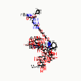 CCCCNC(=O)CC[C@@H](CNCC(=O)NCCOCCOCCOCCn1nnc2c1CCCCCC2(F)C(=O)NCCCCCC(=O)NCC(O)C1O[C@@](OC=O)(O[C@@H]2C(O)[C@H](O[C@@H]3C(CO)O[C@@H](O[C@@H]4C(O)[C@@H](O[C@H]5C(CO)O[C@@H](O[C@@H]6C(CO)O[C@@H](OC)C(O)[C@H]6O)C(O)[C@H]5O[C@@H]5OC(CO)[C@@H](O)[C@H](O)C5O)OC(CO)[C@H]4OC)C(C)[C@H]3O)OC(CO)[C@@H]2O)C[C@@H](O)[C@@H]1NC(C)=O)NC(=O)OCc1ccccc1